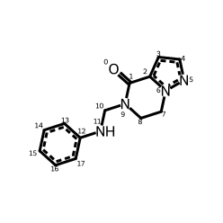 O=C1c2ccnn2CCN1CNc1ccccc1